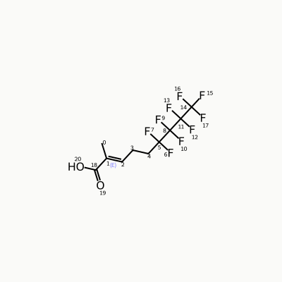 C/C(=C\CCC(F)(F)C(F)(F)C(F)(F)C(F)(F)F)C(=O)O